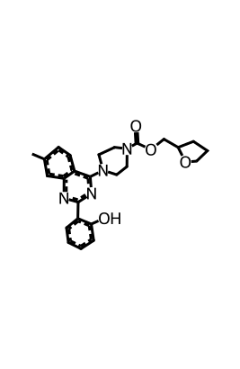 Cc1ccc2c(N3CCN(C(=O)OCC4CCCO4)CC3)nc(-c3ccccc3O)nc2c1